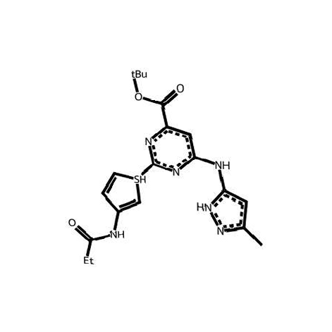 CCC(=O)NC1=C[SH](c2nc(Nc3cc(C)n[nH]3)cc(C(=O)OC(C)(C)C)n2)C=C1